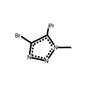 CC(C)c1c(Br)nnn1C